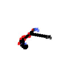 CCCCCCCCCCCCC/C=C/C(CCON)OC(=O)CCC(=O)OC1C(=O)OCc2c1cc1n(c2=O)Cc2cc3ccccc3nc2-1